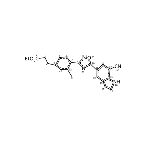 CCOC(=O)CCc1ccc(-c2noc(-c3cc(C#N)c4[nH]ccc4c3)n2)c(C)c1